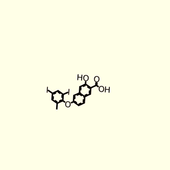 Cc1cc(I)cc(I)c1Oc1ccc2cc(C(=O)O)c(O)cc2c1